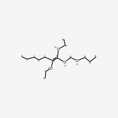 CCCCC/C(OCC)=C(\OCC)OCOCCC